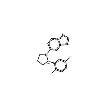 Fc1ccc(F)c([C@H]2CCCN2c2ccn3nc[c]c3c2)c1